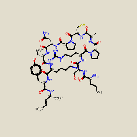 CSCC[C@H](N)C(=O)N[C@@H](CO)C(=O)N[C@@H](CCCNC(=N)N)C(=O)N1CCC[C@H]1C(=O)N[C@@H](C)C(=O)N[C@@H](CS)C(=O)N1CCC[C@H]1C(=O)N[C@@H](CC(N)=O)C(=O)N[C@@H](CC(=O)O)C(=O)N[C@@H](CCCCN)C(=O)N[C@@H](Cc1ccc(O)cc1)C(=O)N[C@@H](CCC(=O)O)C(=O)O